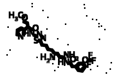 COCCC(C(=O)Nc1nnc(CCCC/C(N)=C/C=C(\N)NC(=O)Cc2cccc(OC(F)(F)F)c2)s1)c1cccnc1